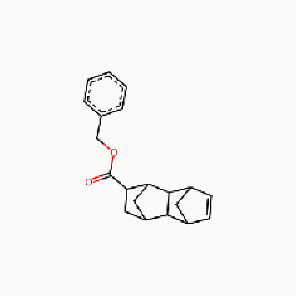 O=C(OCc1ccccc1)C1CC2CC1C1C3C=CC(C3)C21